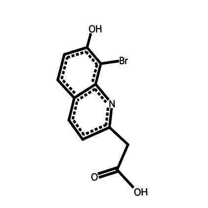 O=C(O)Cc1ccc2ccc(O)c(Br)c2n1